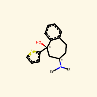 CCN(CC)[C@@H]1CCc2ccccc2[C@@](O)(c2cccs2)C1